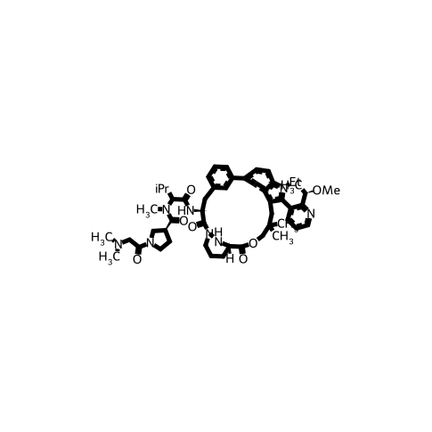 CCn1c(-c2cccnc2[C@H](C)OC)c2c3cc(ccc31)-c1cccc(c1)C[C@H](NC(=O)C(C(C)C)N(C)C(=O)[C@H]1CCN(C(=O)CN(C)C)C1)C(=O)N1CCC[C@H](N1)C(=O)OCC(C)(C)C2